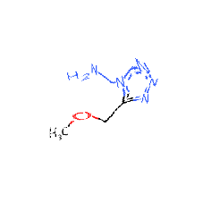 COCc1nnnn1N